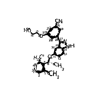 Cc1cnnc(C)c1[C@@H](C)Oc1ccc2[nH]nc(-c3cc(C#N)cc(OCCO)c3)c2c1